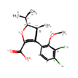 COc1c(C2=C(C(=O)O)O[C@@H](C(C)C)[C@H]2C)ccc(F)c1F